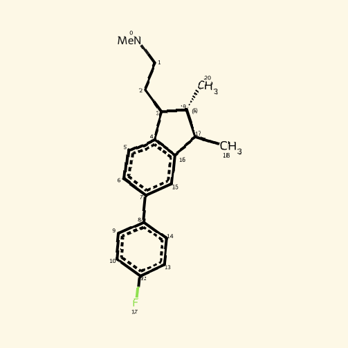 CNCCC1c2ccc(-c3ccc(F)cc3)cc2C(C)[C@H]1C